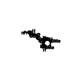 CCCC(C)(CC)C[C@H]1CC(=O)C(CCNC(=O)COC2CCCC/C=C/C2OC(=O)C(C)CCC(C)C(=O)OCCC(=O)N(C)[C@@H](C)C(=O)O[C@H]2CC(O)C(C)C3CC(=CC(OC)=C3C)CC(C)CCCC(OC)C3(O)C[C@H](OC(=O)N3)[C@@H](C)[C@@H]3O[C@@]23C)C1=O